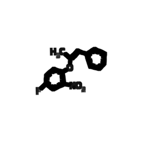 C/C(=C/c1ccccc1)Oc1ccc(F)cc1[N+](=O)[O-]